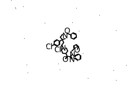 O=C(c1nc2ccccc2n1Cc1ccco1)C1CCN(CCC2(c3ccc(Cl)c(Cl)c3)CCN(C(=O)c3ccccc3)C2)CC1